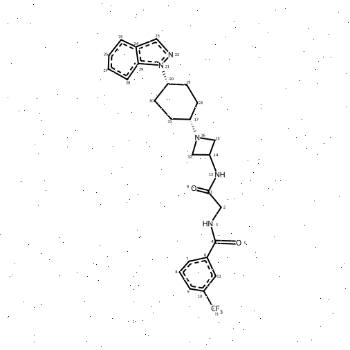 O=C(CNC(=O)c1cccc(C(F)(F)F)c1)NC1CN([C@H]2CC[C@@H](n3ncc4ccccc43)CC2)C1